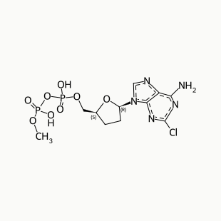 COP(=O)(O)OP(=O)(O)OC[C@@H]1CC[C@H](n2cnc3c(N)nc(Cl)nc32)O1